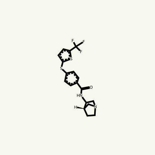 O=C(NC1CN2CC[C@H]1C2)c1ccc(Sc2ccc(C(F)(F)F)s2)cc1